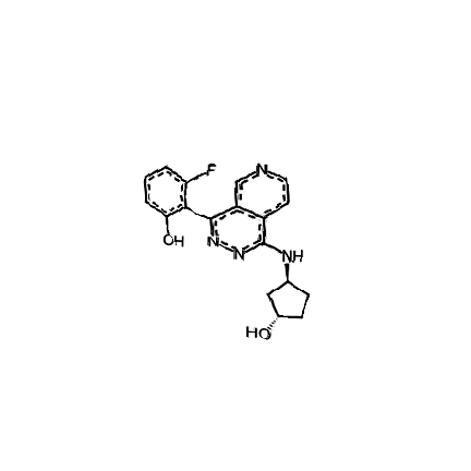 Oc1cccc(F)c1-c1nnc(N[C@H]2CC[C@H](O)C2)c2ccncc12